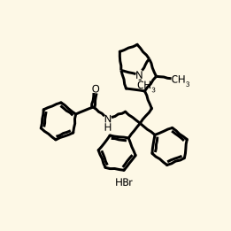 Br.CC1C(CC(CNC(=O)c2ccccc2)(c2ccccc2)c2ccccc2)CC2CCC1N2C